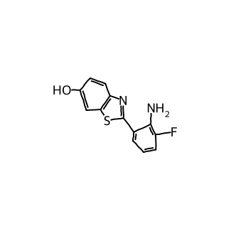 Nc1c(F)cccc1-c1nc2ccc(O)cc2s1